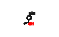 C#CC(O)c1ccc(CCCC)cc1